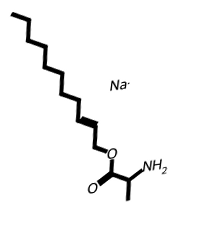 CCCCCCCCC=CCOC(=O)C(C)N.[Na]